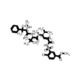 CN[C@H](C(=O)N[C@H](C(=O)N(C)[C@H](C=C(C)C(=O)NS(=O)(=O)c1cc(C(=O)OC)ccc1Cl)C(C)C)C(C)(C)C)C(C)(C)c1ccccc1